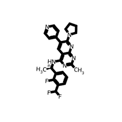 Cc1nc(N[C@H](C)c2cccc(C(F)F)c2F)c2cc(-c3ccncc3)c(N3CCCC3)nc2n1